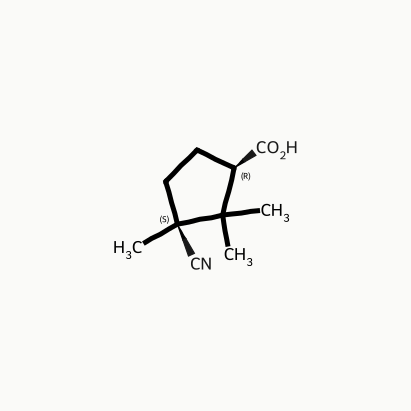 CC1(C)[C@H](C(=O)O)CC[C@]1(C)C#N